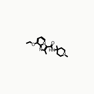 CCOc1cccn2c(C(=O)NC3(C)CCN(C)CC3)c(C)nc12